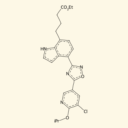 CCOC(=O)CCCc1ccc(-c2noc(-c3cnc(OC(C)C)c(Cl)c3)n2)c2cc[nH]c12